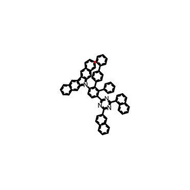 c1ccc(-c2ccc(-c3c(-n4c5cc6ccccc6cc5c5cc6ccccc6cc54)ccc(-c4nc(-c5ccc6ccccc6c5)nc(-c5cccc6ccccc56)n4)c3-c3ccccc3)cc2)cc1